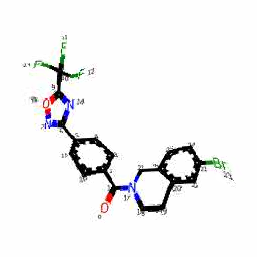 O=C(c1ccc(-c2noc(C(F)(F)F)n2)cc1)N1CCc2cc(Br)ccc2C1